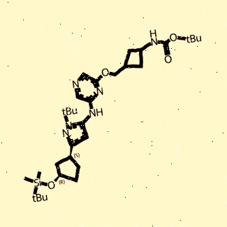 CC(C)(C)OC(=O)NC1CC(COc2cncc(Nc3cc([C@H]4CC[C@@H](O[Si](C)(C)C(C)(C)C)C4)nn3C(C)(C)C)n2)C1